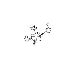 O=C(O[C@]1(C#Cc2cccc(Cl)c2)CCC[C@@H](NC(=O)[C@@H]2CCCO2)C1)c1ccno1